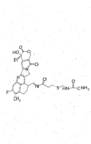 CC[C@@]1(O)C(=O)OCc2c1cc1n(c2=O)Cc2c-1nc1cc(F)c(C)c3c1c2C(/C=N/C(=O)CCSCNC(=O)CN)CC3